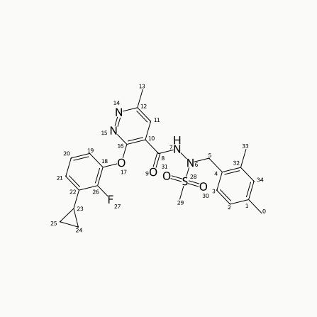 Cc1ccc(CN(NC(=O)c2cc(C)nnc2Oc2cccc(C3CC3)c2F)S(C)(=O)=O)c(C)c1